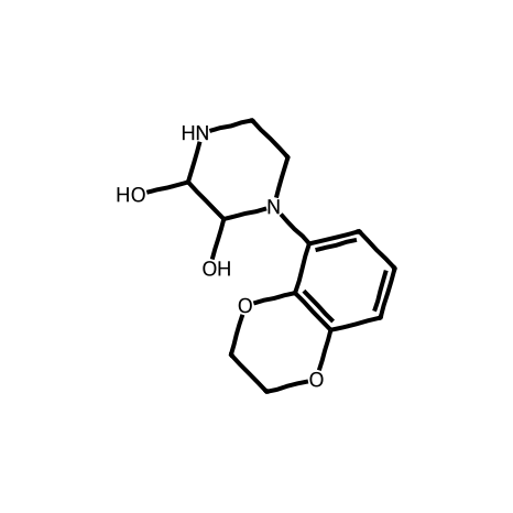 OC1NCCN(c2cccc3c2OCCO3)C1O